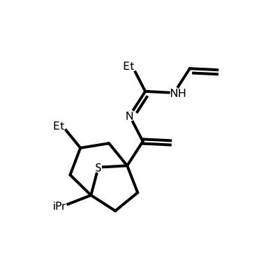 C=CN/C(CC)=N\C(=C)C12CCC(C(C)C)(CC(CC)C1)S2